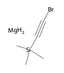 C[Si](C)(C)C#CBr.[MgH2]